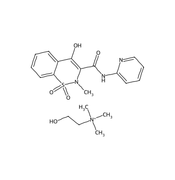 CN1C(C(=O)Nc2ccccn2)=C(O)c2ccccc2S1(=O)=O.C[N+](C)(C)CCO